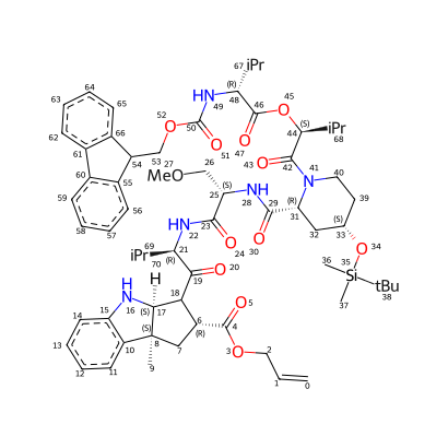 C=CCOC(=O)[C@@H]1C[C@@]2(C)c3ccccc3N[C@H]2C1C(=O)[C@H](NC(=O)[C@H](COC)NC(=O)[C@H]1C[C@@H](O[Si](C)(C)C(C)(C)C)CCN1C(=O)[C@@H](OC(=O)[C@H](NC(=O)OCC1c2ccccc2-c2ccccc21)C(C)C)C(C)C)C(C)C